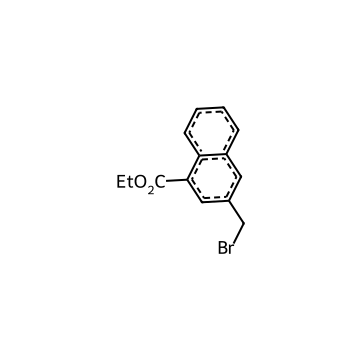 CCOC(=O)c1cc(CBr)cc2ccccc12